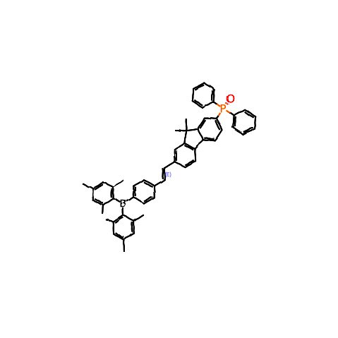 Cc1cc(C)c(B(c2ccc(/C=C/c3ccc4c(c3)C(C)(C)c3cc(P(=O)(c5ccccc5)c5ccccc5)ccc3-4)cc2)c2c(C)cc(C)cc2C)c(C)c1